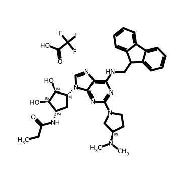 CCC(=O)N[C@H]1C[C@@H](n2cnc3c(NCC4c5ccccc5-c5ccccc54)nc(N4CC[C@@H](N(C)C)C4)nc32)[C@H](O)[C@@H]1O.O=C(O)C(F)(F)F